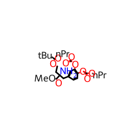 CCCOC(=O)Oc1ccc(C[C@](N)(CCOC(=O)C(C)(C)C)C(=O)OC)cc1OC(=O)OCCC